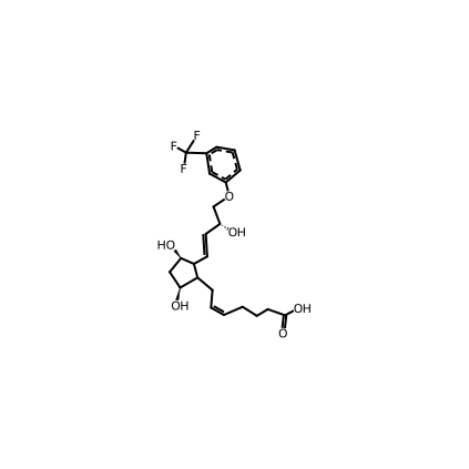 O=C(O)CCC/C=C\CC1C(/C=C/[C@@H](O)COc2cccc(C(F)(F)F)c2)[C@H](O)C[C@@H]1O